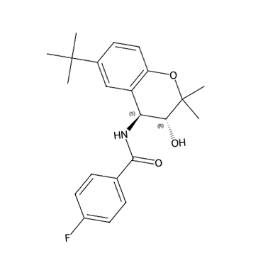 CC(C)(C)c1ccc2c(c1)[C@H](NC(=O)c1ccc(F)cc1)[C@@H](O)C(C)(C)O2